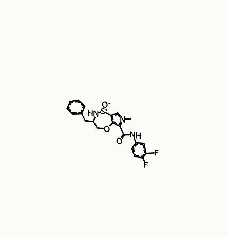 Cn1cc2c(c1C(=O)Nc1ccc(F)c(F)c1)OC[C@@H](Cc1ccccc1)N[S+]2[O-]